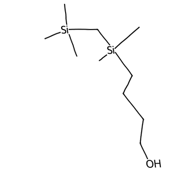 C[Si](C)(C)C[Si](C)(C)CCCCO